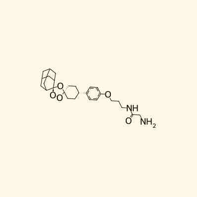 NCC(=O)NCCCOc1ccc([C@H]2CC[C@]3(CC2)OO[C@]2(O3)C3CC4CC(C3)CC2C4)cc1